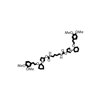 COc1ccc(CCO[C@@H]2CCCCC2N2CCC(OC(=O)NCCCCNC(=O)OC3CCN([C@@H]4CCCC[C@H]4OCCc4ccc(OC)c(OC)c4)C3)C2)cc1OC